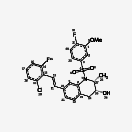 COc1cc(S(=O)(=O)N2c3cc(C=Cc4c(F)cccc4Cl)ccc3C[C@@H](O)[C@H]2C)ccc1F